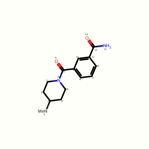 CNC1CCN(C(=O)c2cccc(C(N)=O)c2)CC1